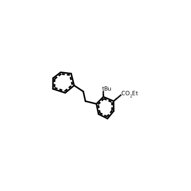 CCOC(=O)c1cccc(CCc2ccccc2)c1C(C)(C)C